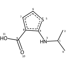 CC(C)Nc1sccc1C(=O)O